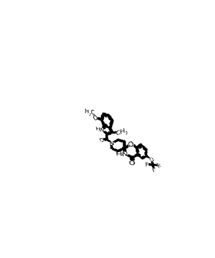 COc1cccc2c(C)c(C(=O)N3CCC4(CC3)NC(=O)c3cc(OC(F)(F)F)ccc3O4)[nH]c12